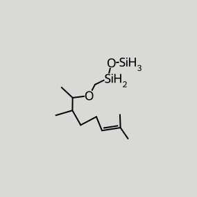 CC(C)=CCCC(C)C(C)OC[SiH2]O[SiH3]